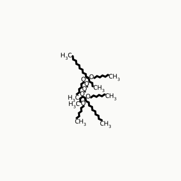 CCCCCCCCCCC(OCCCCCCC)=C(OCCCCCCC)C(CCC)OCOCOC(CCC)C(OCCCCCCC)=C(CCCCCCCCCC)OCCCCCCC